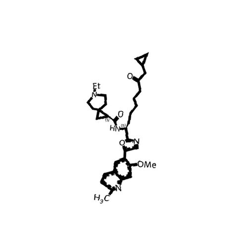 CCN1CCC2(CC1)C[C@@H]2C(=O)N[C@@H](CCCCCC(=O)CC1CC1)c1ncc(-c2cc3ccc(C)nc3cc2OC)o1